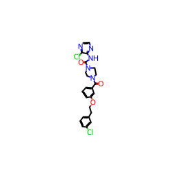 O=C(Nc1nccnc1Cl)N1CCN(C(=O)c2cccc(OCCc3cccc(Cl)c3)c2)CC1